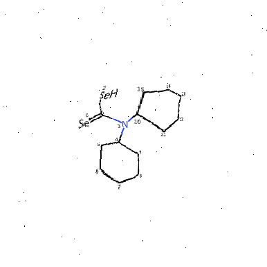 [Se]=C([SeH])N(C1CCCCC1)C1CCCCC1